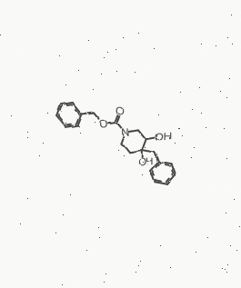 O=C(OCc1ccccc1)N1CCC(O)(Cc2ccccc2)C(O)C1